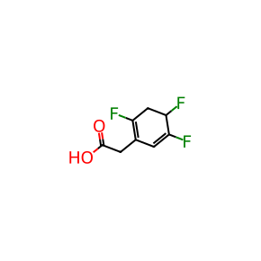 O=C(O)CC1=C(F)CC(F)C(F)=C1